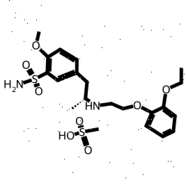 CCOc1ccccc1OCCN[C@H](C)Cc1ccc(OC)c(S(N)(=O)=O)c1.CS(=O)(=O)O